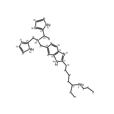 CCCNC(CC)CCCCc1nc2ccc(CN(Cc3ncc[nH]3)C(C)c3ncc[nH]3)cc2[nH]1